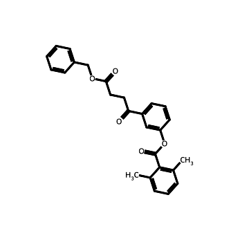 Cc1cccc(C)c1C(=O)Oc1cccc(C(=O)CCC(=O)OCc2ccccc2)c1